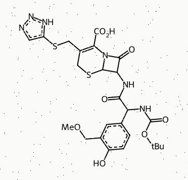 COCc1cc(C(NC(=O)OC(C)(C)C)C(=O)NC2C(=O)N3C(C(=O)O)=C(CSc4cnn[nH]4)CSC23)ccc1O